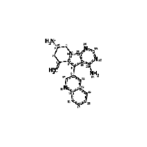 C=C1C[C@H](N)Cn2c1c(-c1cnc3ccccc3c1)c1c(N)ncnc12